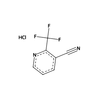 Cl.N#Cc1cccnc1C(F)(F)F